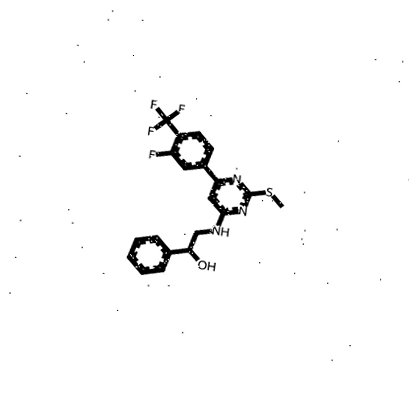 CSc1nc(NCC(O)c2ccccc2)cc(-c2ccc(C(F)(F)F)c(F)c2)n1